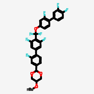 CCCCOC1COC(c2ccc(-c3cc(F)c(C(F)(F)Oc4ccc(-c5ccc(F)c(F)c5)c(F)c4)c(F)c3)c(F)c2)OC1